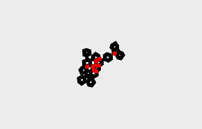 c1ccc(-c2ccccc2-c2c(-c3ccccc3)cccc2N(c2ccc(-c3ccc(-n4c5ccccc5c5ccccc54)cc3)cc2)c2cccc3c2-c2ccccc2C3(c2ccccc2)c2ccccc2)cc1